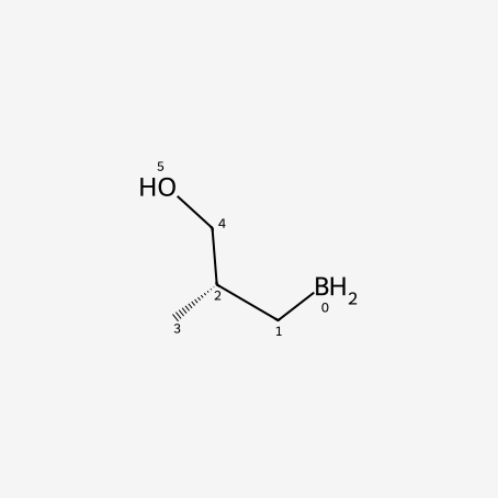 BC[C@H](C)CO